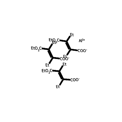 CCOC(=O)/C(CC)=C(\CC)C(=O)[O-].CCOC(=O)/C(CC)=C(\CC)C(=O)[O-].CCOC(=O)/C(CC)=C(\CC)C(=O)[O-].[Al+3]